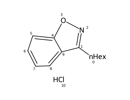 CCCCCCc1noc2ccccc12.Cl